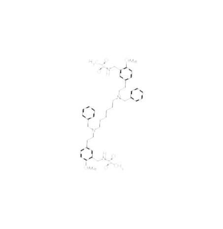 COc1ccc(CCN(CCCCCCN(CCc2ccc(OC)c(CNS(C)(=O)=O)c2)Cc2ccccc2)Cc2ccccc2)cc1CNS(C)(=O)=O